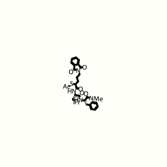 CNC(=O)[C@H](Cc1ccccc1)NC(=O)[C@H](CC(C)C)NC(=O)C(CCCN1C(=O)c2ccccc2C1=O)SC(C)=O